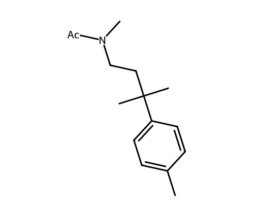 CC(=O)N(C)CCC(C)(C)c1ccc(C)cc1